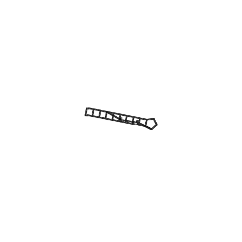 C1CC2C3C1SSC14C5C6CCC6C5C1C1C5C6C7C3C2C7C6C5C14